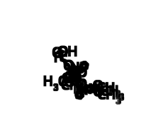 CC(C)(C)OC(=O)[C@@H]1C[C@H](Oc2nc3ccccc3n2C2CCN(C(=O)OC(C)(C)C)CC2)CN1c1nc(COCCCC(F)(F)C(=O)O)nc2c1oc1ccccc12